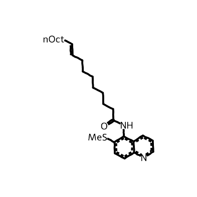 CCCCCCCCC=CCCCCCCCC(=O)Nc1c(SC)ccc2ncccc12